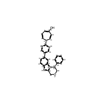 OC1=CC=CN(c2ncc(-c3ccc4nc5n(c4c3)[C@@H](c3ccccc3)COC5)cn2)C=C1